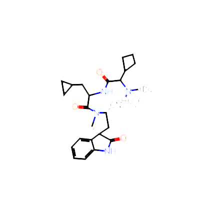 CC(C)(C)N(C(=O)O)C(C(=O)NC(CC1CC1)C(=O)N1C[C@]2(C[C@H]1C#N)C(=O)Nc1ccccc12)C1CCC1